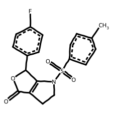 Cc1ccc(S(=O)(=O)N2CCC3=C2C(c2ccc(F)cc2)OC3=O)cc1